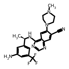 C[C@@H](Nc1ncnc2cc(C#N)c(N3CCN(C)CC3)cc12)c1cc(N)cc(C(F)(F)F)c1